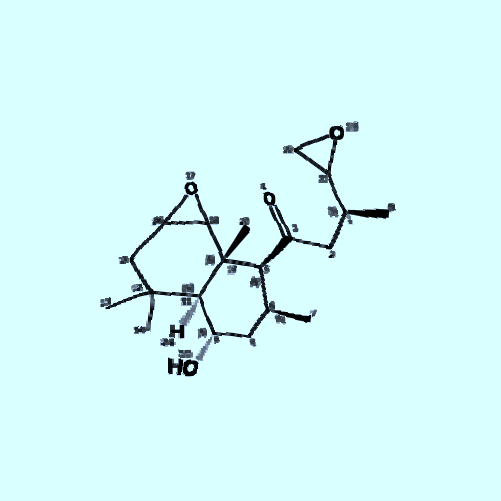 C[C@@H](CC(=O)[C@H]1[C@@H](C)C[C@H](O)[C@H]2C(C)(C)CC3OC3[C@]12C)C1CO1